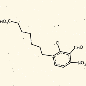 O=Cc1c([N+](=O)[O-])ccc(CCCCCCC(=O)O)c1Cl